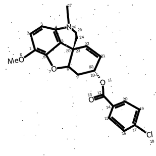 COc1ccc2c3c1OC1C[C@@H](OC(=O)c4ccc(Cl)cc4)C=C[C@@]31CCN2C